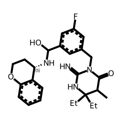 CCC1(CC)NC(=N)N(Cc2cc(F)cc(C(O)N[C@H]3CCOc4ccccc43)c2)C(=O)C1C